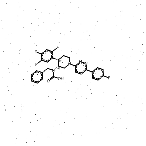 O=C(O)N(Cc1ccccc1)[C@H]1CN(c2ccc(-c3ccc(F)cc3)nn2)CC[C@@H]1c1cc(F)c(F)cc1F